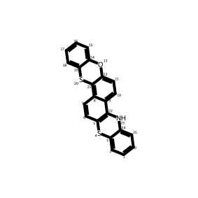 c1ccc2sc3ccc4c(ccc5oc6ccccc6sc54)c3[nH]c2c1